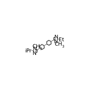 CCc1ncc(-c2ccc(-c3ccc(-c4cnc(C(C)C)n4C)cc3)cc2)n1C